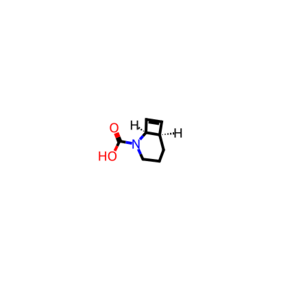 O=C(O)N1CCC[C@@H]2C=C[C@@H]21